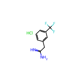 Cl.N=C(N)Cc1cccc(C(F)(F)F)c1